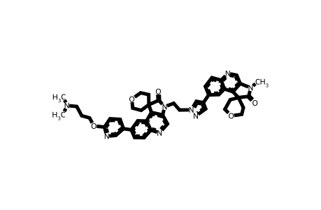 CN(C)CCCOc1ccc(-c2ccc3ncc4c(c3c2)C2(CCOCC2)C(=O)N4CCn2cc(-c3ccc4ncc5c(c4c3)C3(CCOCC3)C(=O)N5C)cn2)cn1